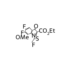 CCOC(=O)c1c2n(c3c(OC)c(F)c(F)cc3c1=O)C(CF)S2